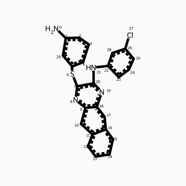 Nc1cccc(Sc2nc3cc4ccccc4cc3nc2Nc2cccc(Cl)c2)c1